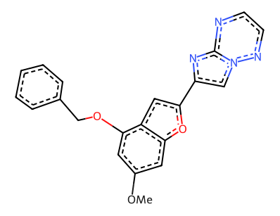 COc1cc(OCc2ccccc2)c2cc(-c3cn4nccnc4n3)oc2c1